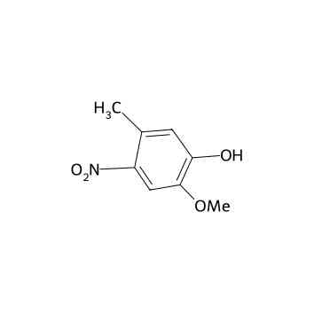 COc1cc([N+](=O)[O-])c(C)cc1O